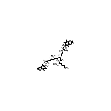 Cc1c(C)c(S(=O)(=O)NC(=N)NCCC[C@H](NC(=O)[C@@H](N)CCCNC(=N)NS(=O)(=O)c2c(C)c(C)c3c(c2C)CC(C)(C)O3)C(=O)N[C@@H](CCCCN)C(=O)O)c(C)c2c1OC(C)(C)C2